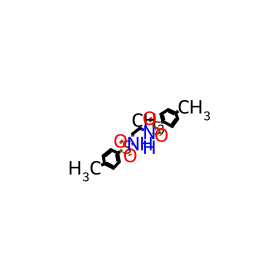 Cc1ccc(S(=O)(=O)NC[C@@H](C)NS(=O)(=O)c2ccc(C)cc2)cc1